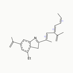 C=C(C)C(=C\C=C/C)/C=C(\C)C1=Nc2cc(C(=C)C)cc(CC)c2C1